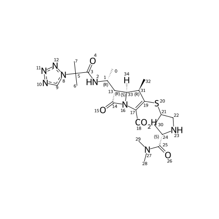 C[C@@H](NC(=O)C(C)(C)n1cnnn1)[C@H]1C(=O)N2C(C(=O)O)=C(SC3CN[C@H](C(=O)N(C)C)C3)[C@H](C)[C@H]12